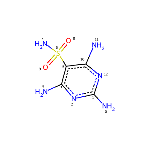 Nc1nc(N)c(S(N)(=O)=O)c(N)n1